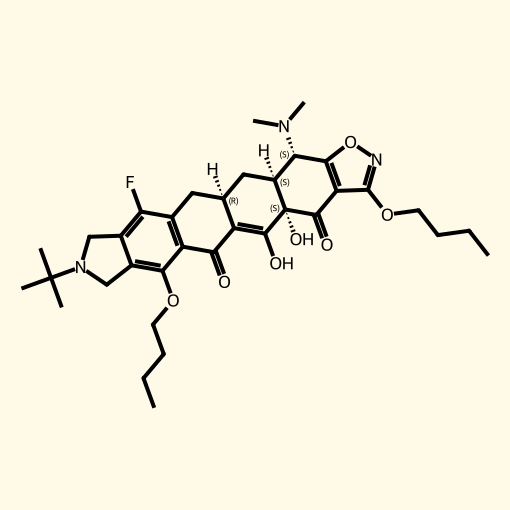 CCCCOc1noc2c1C(=O)[C@@]1(O)C(O)=C3C(=O)c4c(c(F)c5c(c4OCCCC)CN(C(C)(C)C)C5)C[C@H]3C[C@H]1[C@@H]2N(C)C